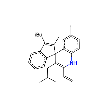 C=CC1=C(C=C(C)C)C2(C(C)=C(C(C)CC)c3ccccc32)c2cc(C)ccc2N1